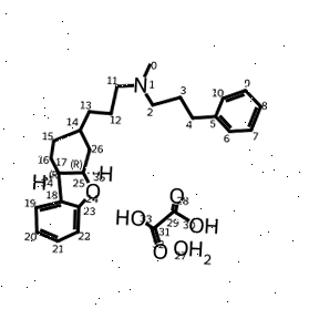 CN(CCCc1ccccc1)CCCC1CC[C@@H]2c3ccccc3O[C@@H]2C1.O.O=C(O)C(=O)O